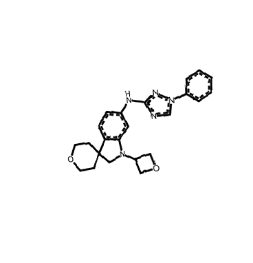 c1ccc(-n2cnc(Nc3ccc4c(c3)N(C3COC3)CC43CCOCC3)n2)cc1